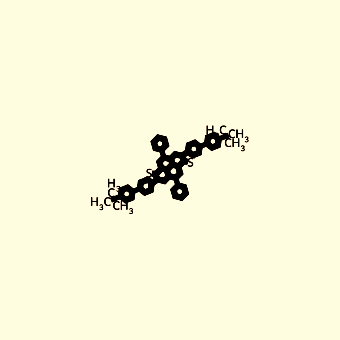 CC(C)(C)c1ccc(-c2ccc3c(c2)sc2c3cc3c(-c4ccccc4)cc4c5sc6cc(-c7ccc(C(C)(C)C)cc7)ccc6c5cc5c(-c6ccccc6)cc2c3c54)cc1